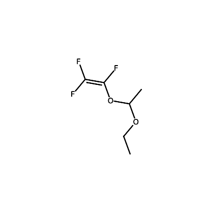 CCOC(C)OC(F)=C(F)F